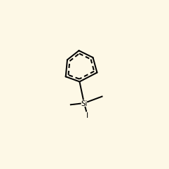 C[Si](C)(I)c1ccccc1